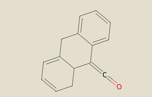 O=C=C1c2ccccc2CC2=CC=CCC12